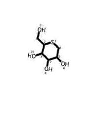 OCC1SCC(O)C(O)C1O